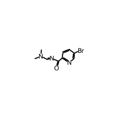 CN(C)/C=N/C(=O)c1ccc(Br)cn1